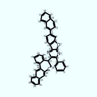 c1ccc(-c2nc3oc4cc(-c5ccc6ccccc6c5)ccc4c3nc2C2CCc3cc4ccccc4cc3-c3ccccc32)cc1